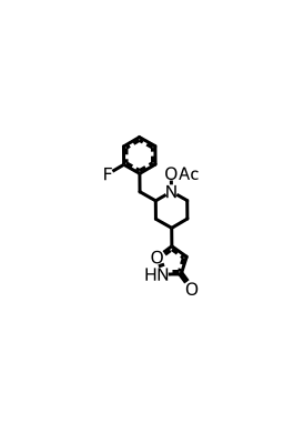 CC(=O)ON1CCC(c2cc(=O)[nH]o2)CC1Cc1ccccc1F